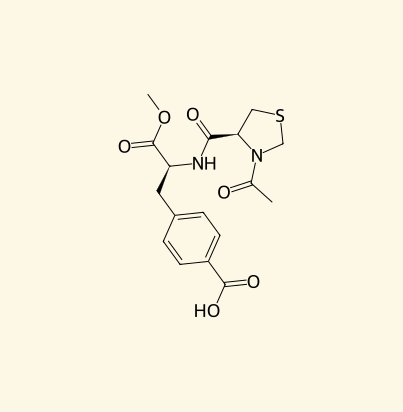 COC(=O)[C@H](Cc1ccc(C(=O)O)cc1)NC(=O)[C@H]1CSCN1C(C)=O